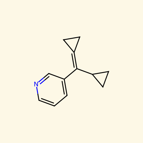 c1cncc(C(=C2CC2)C2CC2)c1